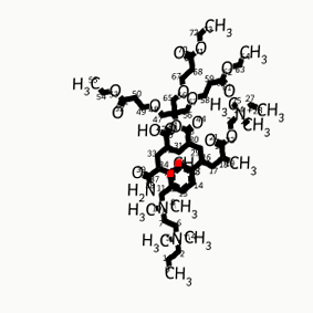 CCC[N+](C)(C)CC[N+](C)(C)Cc1ccc(C(CC(C)C(=O)OC[N+](C)(C)CC)CC(CC(CC(CC)C(N)=O)C(=O)O)C(=O)OC(COCCC(=O)OCC)(COCCC(=O)OCC)COCCC(=O)OCC)cc1